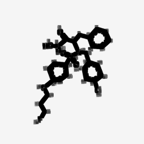 O=C(NO)C(Cc1ccccc1)N(Cc1ccc(Cl)cc1)S(=O)(=O)c1ccc(OCCCF)cc1